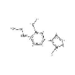 COc1cc(-c2nccn2C)ccc1NC=O